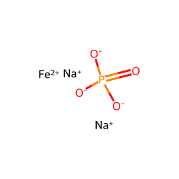 O=P([O-])([O-])[O-].[Fe+2].[Na+].[Na+]